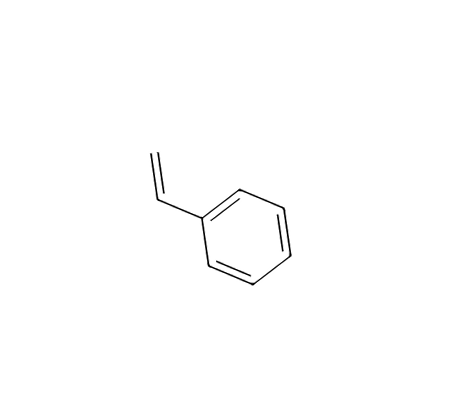 [CH]=Cc1c[c]ccc1